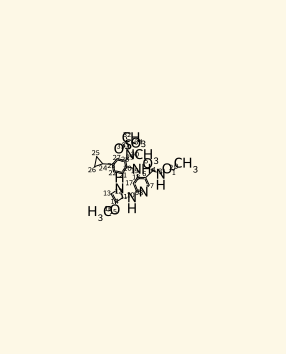 CCONC(=O)c1cnc(N[C@H]2NC=C2OC)cc1Nc1ccc(C2CC2)cc1N(C)S(C)(=O)=O